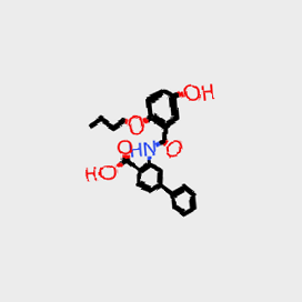 CCCCOc1ccc(O)cc1C(=O)Nc1cc(-c2ccccc2)ccc1C(=O)O